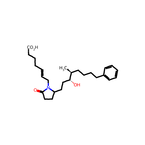 C[C@@H](CCCCc1ccccc1)[C@H](O)CCC1CCC(=O)N1CC=CCCCC(=O)O